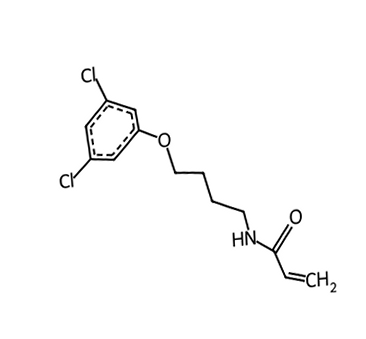 C=CC(=O)NCCCCOc1cc(Cl)cc(Cl)c1